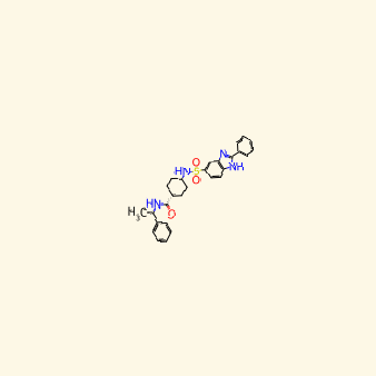 C[C@@H](NC(=O)[C@H]1CC[C@H](NS(=O)(=O)c2ccc3[nH]c(-c4ccccc4)nc3c2)CC1)c1ccccc1